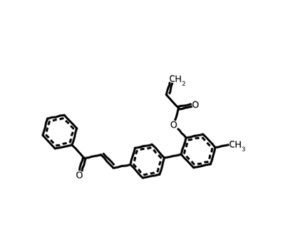 C=CC(=O)Oc1cc(C)ccc1-c1ccc(C=CC(=O)c2ccccc2)cc1